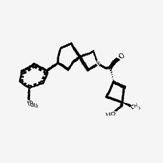 CC(C)(C)c1cccc(C2CCC3(C2)CN(C(=O)[C@H]2C[C@@](C)(O)C2)C3)c1